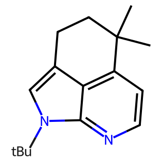 CC1(C)CCc2cn(C(C)(C)C)c3nccc1c23